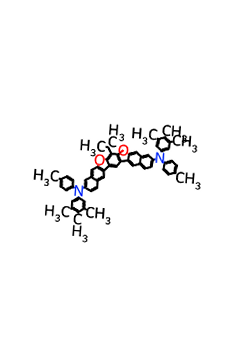 Cc1ccc(N(c2cc(C)c(C)c(C)c2)c2ccc3cc4c(cc3c2)oc2c(C(C)C)c3oc5cc6cc(N(c7ccc(C)cc7)c7cc(C)c(C)c(C)c7)ccc6cc5c3cc24)cc1